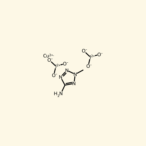 Cn1nnc(N)n1.[Cu+2].[O-][I+2]([O-])[O-].[O-][I+2]([O-])[O-]